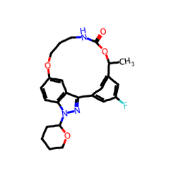 CC1OC(=O)NCCCOc2ccc3c(c2)c(nn3C2CCCCO2)-c2cc(F)cc1c2